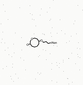 [CH2]CCCCCCCCCCCOC1CCCCC([O])COCC1